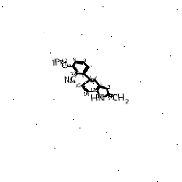 C=C1Cc2cc(-c3cccc(OC(C)C)c3C#N)ccc2N1